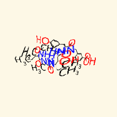 CCC(C)[C@H](NC(C)=O)C(=O)N[C@@H](C)C(=O)N[C@@H](CC(C)C)[C@@H](O)CC(=O)N[C@@H](Cc1ccc(O)cc1)C(=O)NCc1cccc(C(=O)O)c1